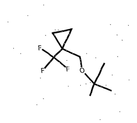 CC(C)(C)OCC1(C(F)(F)F)CC1